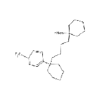 CCCCCCCCCC1(CCCCC2(c3ccc(C(F)(F)F)cc3)CCCCC2)CCCCC1